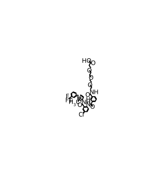 CN1C(NC(=O)c2cc(Cl)ccc2NC(=O)c2cccc(C(=O)NCCOCCOCCOCCC(=O)O)c2)C=CN1c1cccc(C(F)(F)F)c1